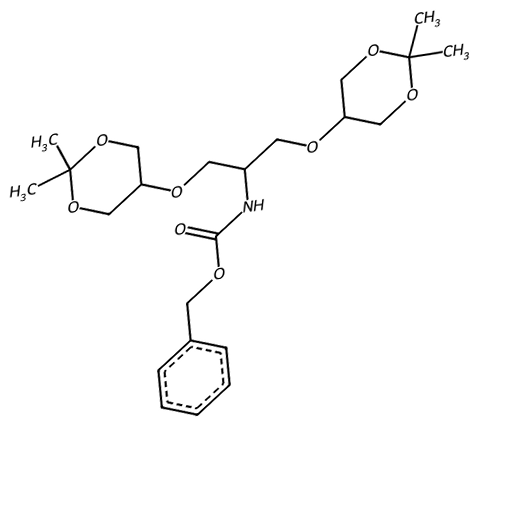 CC1(C)OCC(OCC(COC2COC(C)(C)OC2)NC(=O)OCc2ccccc2)CO1